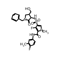 Cc1cc(NC(=O)c2c(F)c(S(=O)(=O)NC3C(=O)N(Cc4ccccc4)CC3CO)cn2C)ccc1F